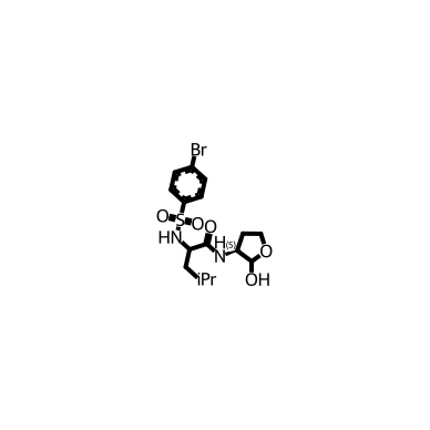 CC(C)CC(NS(=O)(=O)c1ccc(Br)cc1)C(=O)N[C@H]1CCOC1O